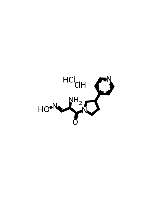 Cl.Cl.NC(C=NO)C(=O)N1CCC(c2ccncc2)C1